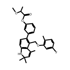 COC(C)C(=O)Oc1cccc(-c2ccc3c(c2COc2cc(F)ccc2C)C(C)=CC(C)(C)N3)c1